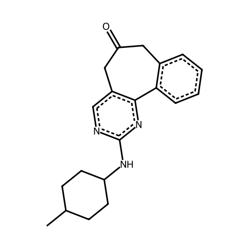 CC1CCC(Nc2ncc3c(n2)-c2ccccc2CC(=O)C3)CC1